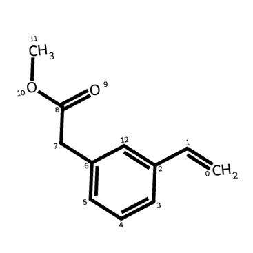 C=Cc1cccc(CC(=O)OC)c1